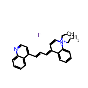 CC[N+]1(CC)C=CC(=CC=Cc2ccnc3ccccc23)c2ccccc21.[I-]